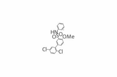 COc1ccc(-c2cc(Cl)ccc2Cl)cc1S(=O)(=O)Nc1[c]cccc1